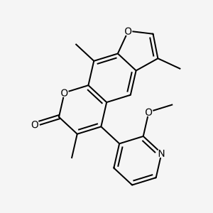 COc1ncccc1-c1c(C)c(=O)oc2c(C)c3occ(C)c3cc12